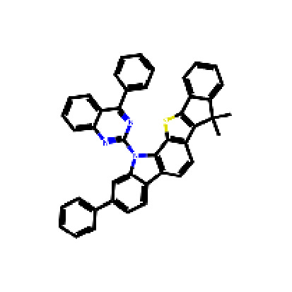 CC1(C)c2ccccc2-c2sc3c(ccc4c5ccc(-c6ccccc6)cc5n(-c5nc(-c6ccccc6)c6ccccc6n5)c43)c21